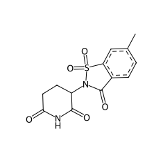 Cc1ccc2c(c1)S(=O)(=O)N(C1CCC(=O)NC1=O)C2=O